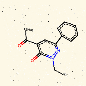 COC(=O)c1cc(-c2ccccc2)nn(CC(C)C)c1=O